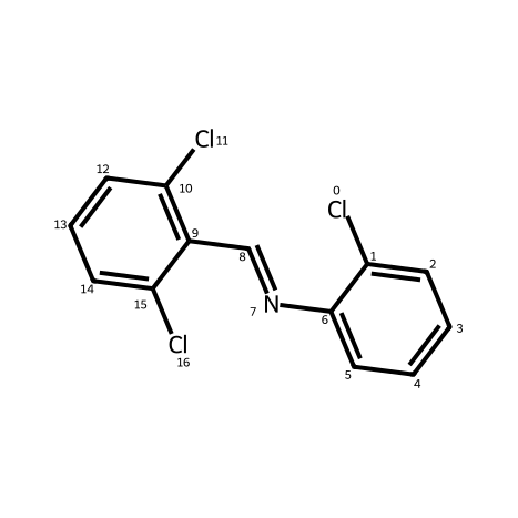 Clc1ccccc1N=Cc1c(Cl)cccc1Cl